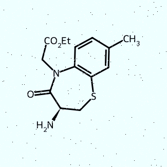 CCOC(=O)CN1C(=O)[C@H](N)CSc2cc(C)ccc21